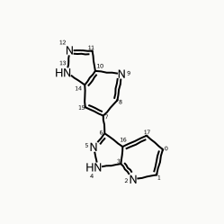 c1cnc2[nH]nc(-c3cnc4cn[nH]c4c3)c2c1